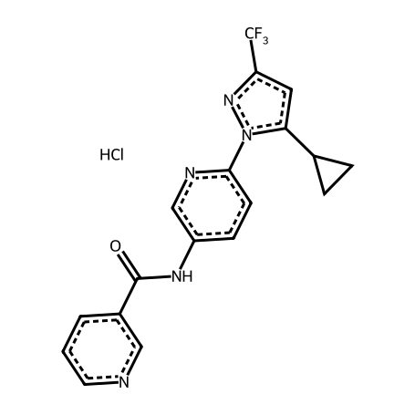 Cl.O=C(Nc1ccc(-n2nc(C(F)(F)F)cc2C2CC2)nc1)c1cccnc1